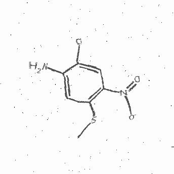 CSc1cc(N)c(Cl)cc1[N+](=O)[O-]